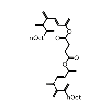 C=C(/C=C/C(=C)C(=C)C(=C)CCCCCCCC)OC(=O)CCC(=O)OC(=C)/C=C/C(=C)C(=C)C(=C)CCCCCCCC